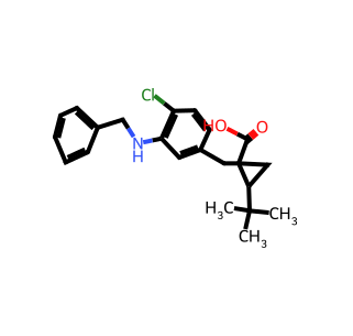 CC(C)(C)C1CC1(Cc1ccc(Cl)c(NCc2ccccc2)c1)C(=O)O